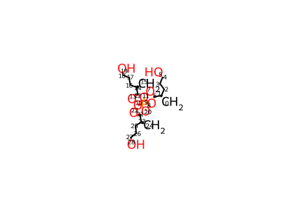 C=C(CCCO)C(=O)OP(=O)(OC(=O)C(=C)CCCO)OC(=O)C(=C)CCCO